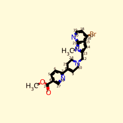 COC(=O)c1ccc(C2=CCN(Cc3cc4c(Br)ccnc4n3C)CC2)nc1